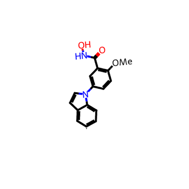 COc1ccc(-n2ccc3c[c]ccc32)cc1C(=O)NO